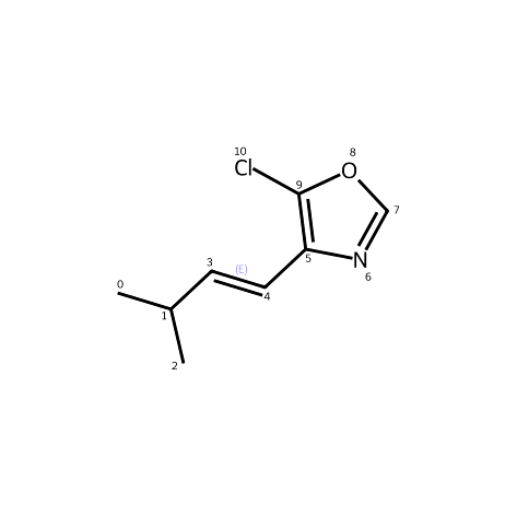 CC(C)/C=C/c1ncoc1Cl